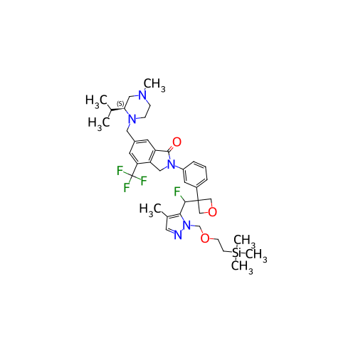 Cc1cnn(COCC[Si](C)(C)C)c1C(F)C1(c2cccc(N3Cc4c(cc(CN5CCN(C)C[C@@H]5C(C)C)cc4C(F)(F)F)C3=O)c2)COC1